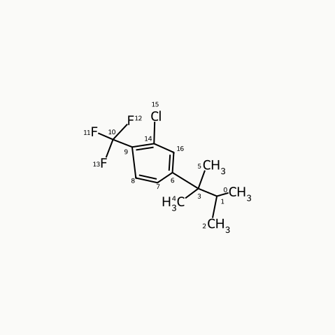 CC(C)C(C)(C)c1ccc(C(F)(F)F)c(Cl)c1